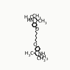 CC1=CC(C)(C)Nc2ccc(OCCCCCCOc3ccc4c(c3)C(C)=CC(C)(C)N4)cc21